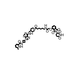 Cc1cccc(C(=O)NC2CC(n3cnc4c(NCC5CCN(C(=O)CCCCCNC(=O)COc6cccc7c6C(=O)N([C@@H]6CCC(=O)NC6=O)C7=O)CC5)ncnc43)C2)n1